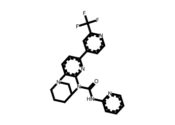 O=C(Nc1ccccn1)N1c2nc(-c3ccnc(C(F)(F)F)c3)ccc2N2CCCC1C2